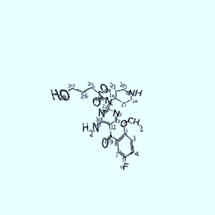 COc1ccc(F)cc1C(=O)c1cnc(N(C2CCNCC2)S(=O)(=O)CCCO)nc1N